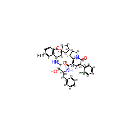 CCc1ccc2c(c1)[C@@H](NC[C@@H](O)[C@H](Cc1ccccc1)NC(=O)c1cc(-c3ccccc3F)c(=O)n3c1CCC3)CC1(CCCC1)O2